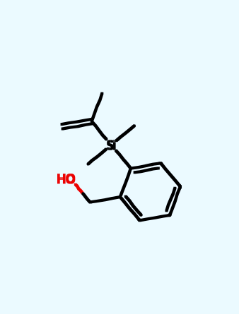 C=C(C)[Si](C)(C)c1ccccc1CO